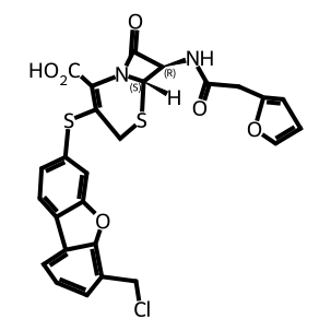 O=C(Cc1ccco1)N[C@@H]1C(=O)N2C(C(=O)O)=C(Sc3ccc4c(c3)oc3c(CCl)cccc34)CS[C@@H]12